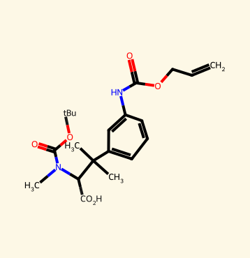 C=CCOC(=O)Nc1cccc(C(C)(C)C(C(=O)O)N(C)C(=O)OC(C)(C)C)c1